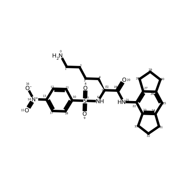 NCCCC[C@H](NS(=O)(=O)c1ccc([N+](=O)[O-])cc1)C(=O)Nc1c2c(cc3c1CCC3)CCC2